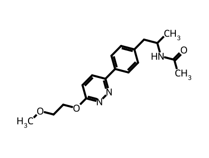 COCCOc1ccc(-c2ccc(CC(C)NC(C)=O)cc2)nn1